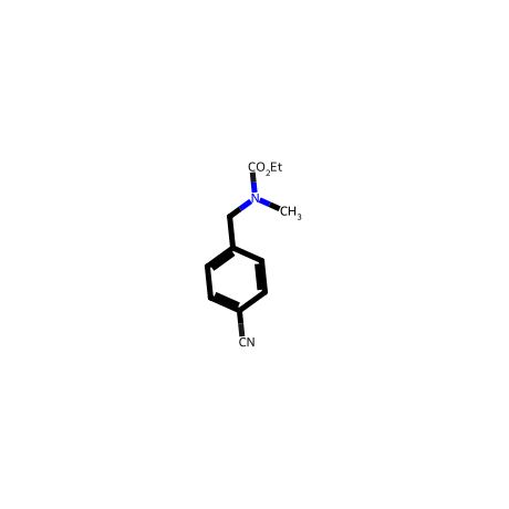 CCOC(=O)N(C)Cc1ccc(C#N)cc1